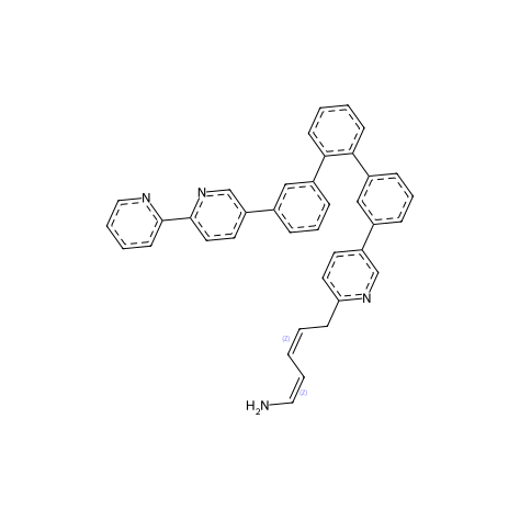 N/C=C\C=C/Cc1ccc(-c2cccc(-c3ccccc3-c3cccc(-c4ccc(-c5ccccn5)nc4)c3)c2)cn1